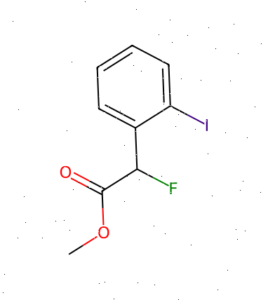 COC(=O)C(F)c1ccccc1I